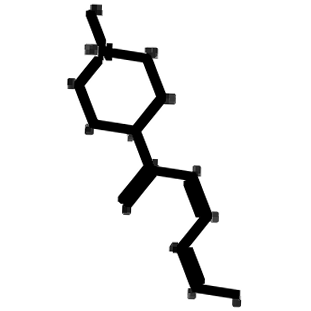 C=C(/C=C\C=C/C)C1CCN(C)CC1